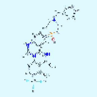 Cc1nc(N[C@H](C)c2cccc(C(F)(F)F)c2C)c2cc(P3(=O)CCN(Cc4ccccc4)CC3)ccc2n1